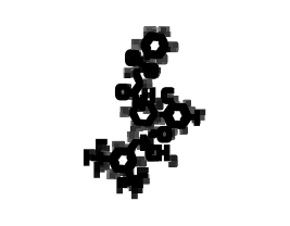 Cc1cc(F)ccc1[C@@H]1CN(C(=O)CCS(=O)(=O)c2ccccc2)CC[C@H]1C(=O)N(C)Cc1cc(C(F)(F)F)cc(C(F)(F)F)c1